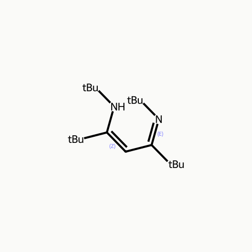 CC(C)(C)/N=C(\C=C(/NC(C)(C)C)C(C)(C)C)C(C)(C)C